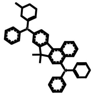 CC1CCC=C(N(c2ccccc2)c2ccc3c(c2)C(C)(C)c2cc(N(C4=CCCC=C4)c4ccccc4)c4ccccc4c2-3)C1